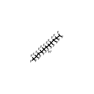 F[C](F)C(F)(F)C(F)(F)C(F)(F)C(F)(F)C(F)(F)C(F)(F)C(F)(F)C(F)(F)C(F)(F)C(F)(F)F.[H+]